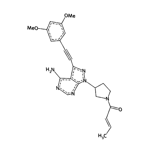 C/C=C/C(=O)N1CCC(n2nc(C#Cc3cc(OC)cc(OC)c3)c3c(N)ncnc32)C1